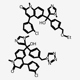 CCOCc1ccc(C(O)(c2ccc3c(c2)c(-c2cccc(Cl)c2)cc(=O)n3C)c2cncn2C)cc1.Cn1cncc1C(O)(c1ccc(Cn2cnnn2)cc1)c1ccc2c(c1)c(-c1cccc(Cl)c1)cc(=O)n2C